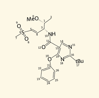 CO[C@H](C)[C@@H](/C=C/S(C)(=O)=O)NC(=O)c1cnc(C(C)(C)C)nc1Oc1ccccc1